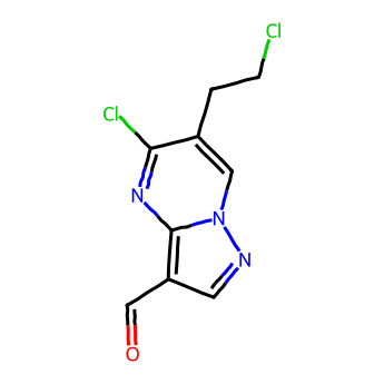 O=Cc1cnn2cc(CCCl)c(Cl)nc12